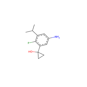 CC(C)c1cc(N)cc(C2(O)CC2)c1F